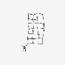 CBC1C2C3CC4C5C6C7C8CC9C%10CC%11C%12C%13C%14C1C21C34C52C%141C%131C%123C%10%11C98C73C621